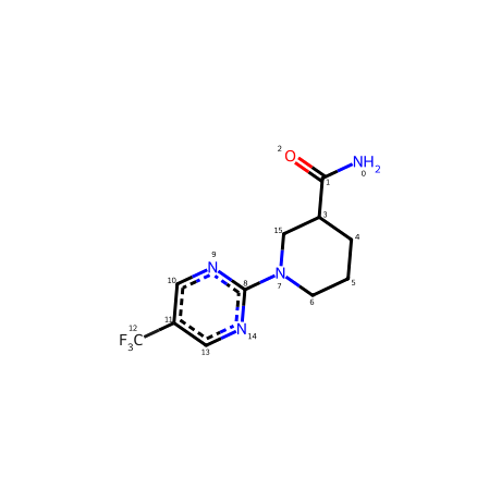 NC(=O)C1CCCN(c2ncc(C(F)(F)F)cn2)C1